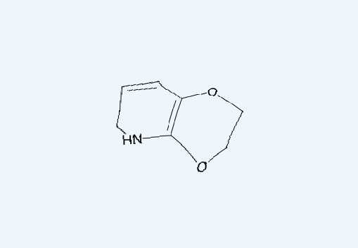 C1=CC2=C(NC1)OCCO2